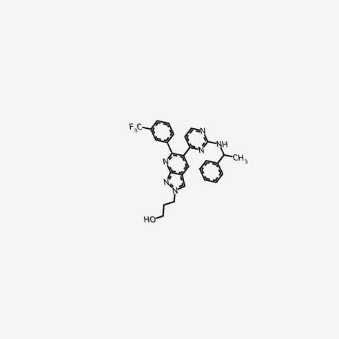 CC(Nc1nccc(-c2cc3cn(CCCO)nc3nc2-c2cccc(C(F)(F)F)c2)n1)c1ccccc1